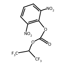 O=C(Oc1c([N+](=O)[O-])cccc1[N+](=O)[O-])OC(C(F)(F)F)C(F)(F)F